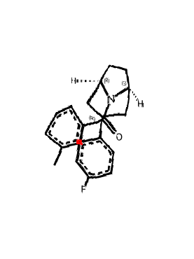 Cc1cccc(C(=O)N2[C@@H]3CC[C@H]2C[C@@H](c2ccc(F)cc2)C3)c1